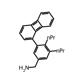 CCCc1cc(CN)cc(-c2cccc3c2=c2ccccc2=3)c1CCC